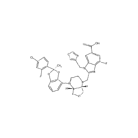 C[C@@]1(c2ccc(Cl)cc2F)Oc2cccc(N3CCN(Cc4nc5c(F)cc(C(=O)O)cc5n4Cc4cocn4)[C@@H]4COC[C@@H]43)c2O1